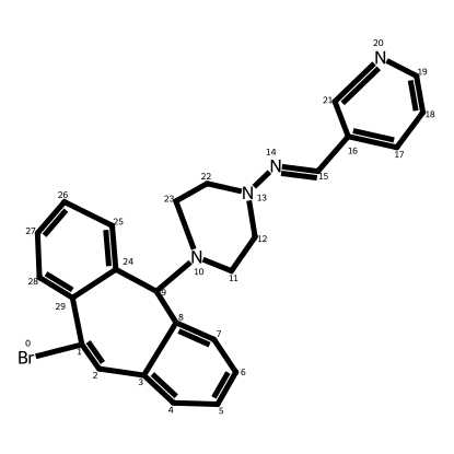 BrC1=Cc2ccccc2C(N2CCN(N=Cc3cccnc3)CC2)c2ccccc21